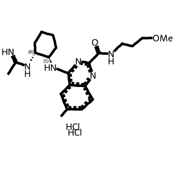 COCCCNC(=O)c1nc(N[C@H]2CCCC[C@H]2NC(C)=N)c2cc(C)ccc2n1.Cl.Cl